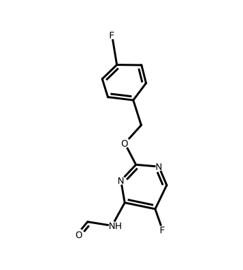 O=CNc1nc(OCc2ccc(F)cc2)ncc1F